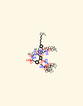 CCCCCCCc1ccc(C(=O)N[C@@H](CCNC(=O)OC(C)(C)C)C(=O)N(C)[C@@H]2C(=O)N[C@@H](C)C(=O)N[C@H](C(=O)O)Cc3ccc(OCCNC(=O)OC(C)(C)C)c(c3)-c3cc2ccc3OCCNC(=O)OC(C)(C)C)c(C)c1